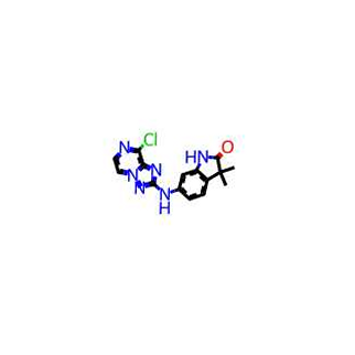 CC1(C)C(=O)Nc2cc(Nc3nc4c(Cl)nccn4n3)ccc21